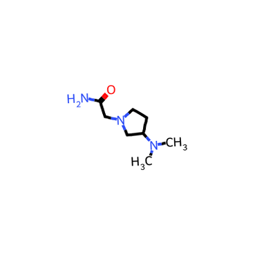 CN(C)C1CCN(CC(N)=O)C1